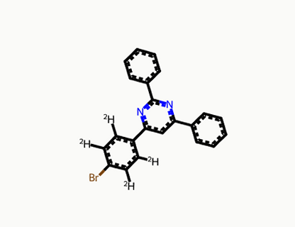 [2H]c1c([2H])c(-c2cc(-c3ccccc3)nc(-c3ccccc3)n2)c([2H])c([2H])c1Br